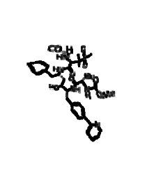 COC(=O)N[C@H](C(=O)N[C@@H](Cc1ccc(-c2ccccn2)cc1)[C@@H](O)C[C@H](Cc1ccccc1)NC(=O)[C@@H](NC(=O)O)C(C)(C)S(C)(=O)=O)C(C)(C)C